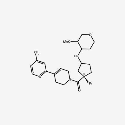 COC1COCCC1NC1CC[C@@](C(=O)N2CC=C(c3cc(C(F)(F)F)ccn3)CC2)(C(C)C)C1